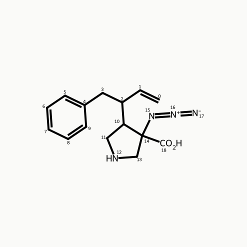 C=CC(Cc1ccccc1)C1CNCC1(N=[N+]=[N-])C(=O)O